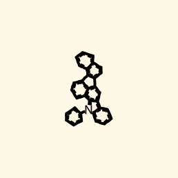 c1ccc(-n2c3ccccc3c3cc4c5c(cccc5c32)-c2c-4ccc3ccccc23)cc1